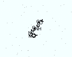 Cc1ccc2ncnc(N(C)CC(=O)NC3CN(C(=O)OC(C)(C)C)C3)c2c1